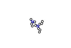 c1ccc(-n2c3cccc(-c4cccc(N(c5ccc6c(ccc7ccccc76)c5)c5ccc6c(ccc7ccccc76)c5)c4)c3c3c4ccccc4ccc32)cc1